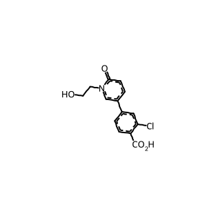 O=C(O)c1ccc(-c2ccc(=O)n(CCO)c2)cc1Cl